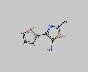 Cc1nc(-c2cccs2)c(I)s1